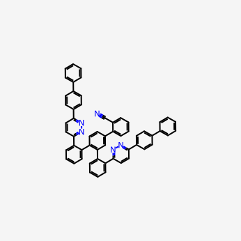 N#Cc1ccccc1-c1ccc(-c2ccccc2-c2ccc(-c3ccc(-c4ccccc4)cc3)nn2)c(-c2ccccc2-c2ccc(-c3ccc(-c4ccccc4)cc3)nn2)c1